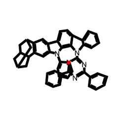 c1ccc(-c2nc(-c3ccccc3)nc(-n3c4ccccc4c4ccc5c6cc7c(cc6n(-c6ccccc6)c5c43)C3CC4CC7CC3C4)n2)cc1